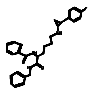 O=C(N[C@@H](CCCCN[C@@H]1C[C@H]1c1ccc(F)cc1)C(=O)NCc1ccccc1)c1ccccc1